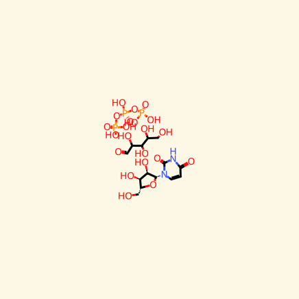 O=CC(O)C(O)C(O)CO.O=P(O)(O)OP(=O)(O)OP(=O)(O)O.O=c1ccn([C@@H]2O[C@H](CO)[C@@H](O)[C@H]2O)c(=O)[nH]1